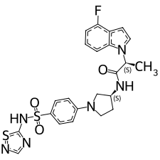 C[C@@H](C(=O)N[C@H]1CCN(c2ccc(S(=O)(=O)Nc3ncns3)cc2)C1)n1ccc2c(F)cccc21